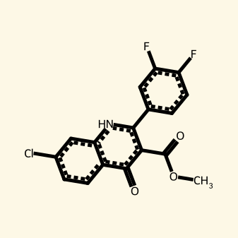 COC(=O)c1c(-c2ccc(F)c(F)c2)[nH]c2cc(Cl)ccc2c1=O